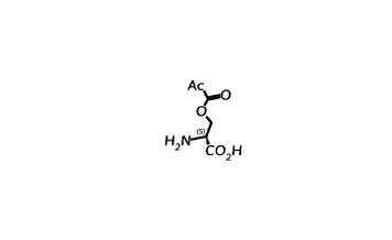 CC(=O)C(=O)OC[C@H](N)C(=O)O